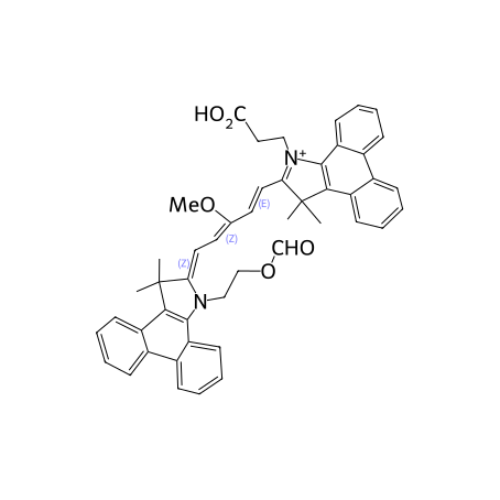 COC(=C\C=C1/N(CCOC=O)c2c(c3ccccc3c3ccccc23)C1(C)C)/C=C/C1=[N+](CCC(=O)O)c2c(c3ccccc3c3ccccc23)C1(C)C